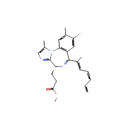 C=C/C=C\C=C(/C)C1=N[C@@H](CCC(=O)OC)c2ncc(C)n2-c2cc(C)c(N)cc21